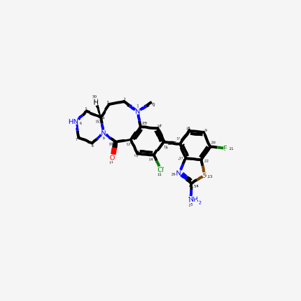 CN1CC[C@H]2CNCCN2C(=O)c2cc(Cl)c(-c3ccc(F)c4sc(N)nc34)cc21